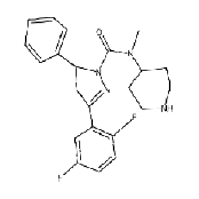 CN(C(=O)N1N=C(c2cc(F)ccc2F)CC1c1ccccc1)C1CCNCC1